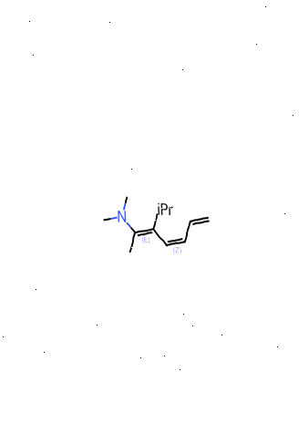 C=C/C=C\C(=C(/C)N(C)C)C(C)C